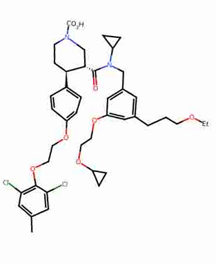 CCOCCCc1cc(CN(C(=O)[C@H]2CN(C(=O)O)CC[C@@H]2c2ccc(OCCOc3c(Cl)cc(C)cc3Cl)cc2)C2CC2)cc(OCCOC2CC2)c1